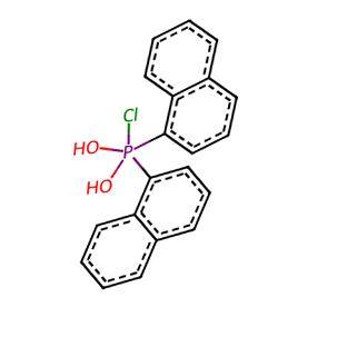 OP(O)(Cl)(c1cccc2ccccc12)c1cccc2ccccc12